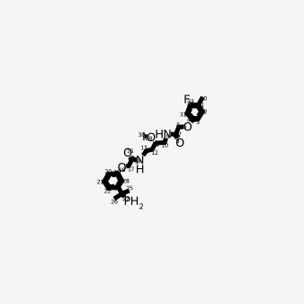 Cc1ccc(OCC(=O)NCC(CCNC(=O)COc2cccc(C(C)(C)P)c2)OI)cc1F